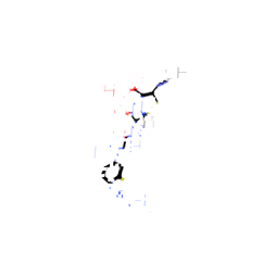 C/C=C/C1=C(C(=O)O)N2C(=O)C(NC(=O)CNc3ccc4nc(N)sc4c3)[C@@H]2SC1